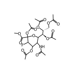 COC(=O)C1(OC(C)=O)OC([C@H](OC(C)=O)[C@@H](COC(C)=O)OC(C)=O)C(NC(C)=O)C(OC(C)=O)C1F